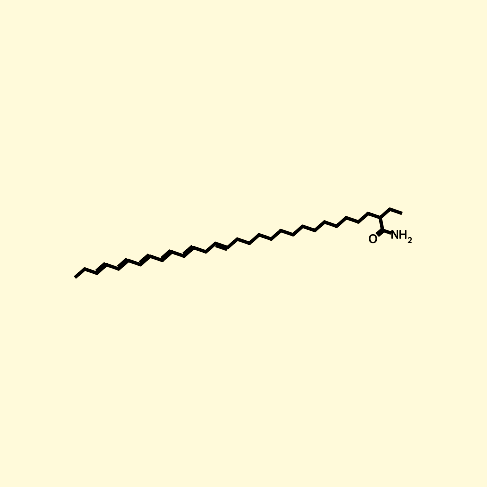 CCC=CC=CC=CC=CC=CCC=CCCCCCCCCCCCCCC(CC)C(N)=O